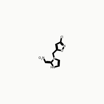 O=[N+]([O-])C=C1NC=CN1Cc1cc(Cl)no1